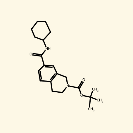 CC(C)(C)OC(=O)N1CCc2ccc(C(=O)NC3CCCCC3)cc2C1